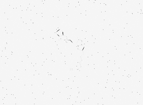 CN(C)CCCCCC1=C[C@H]2C[C@@H](O)[C@H](/C=C/[C@](C)(O)Cc3ccccc3)[C@H]2C1